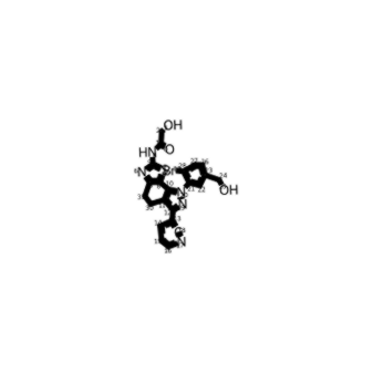 O=C(CO)Nc1nc2c(s1)-c1c(c(-c3cccnc3)nn1-c1cc(CO)ccc1Br)CC2